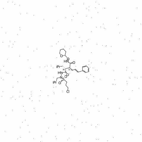 CC(C)C[C@@H](C(=O)NN(CC(C)C)S(=O)(=O)CCCCl)[C@H](CC=Cc1ccccc1)C(=O)NOC1CCCCO1